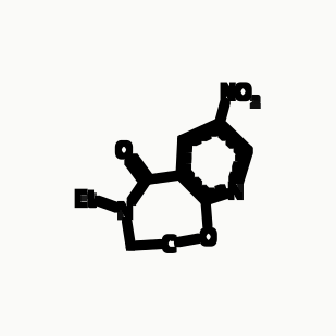 CCN1CCOc2ncc([N+](=O)[O-])cc2C1=O